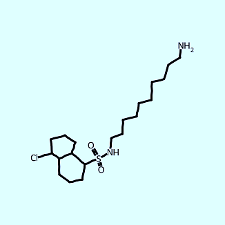 NCCCCCCCCCCNS(=O)(=O)C1CCCC2C(Cl)CCCC21